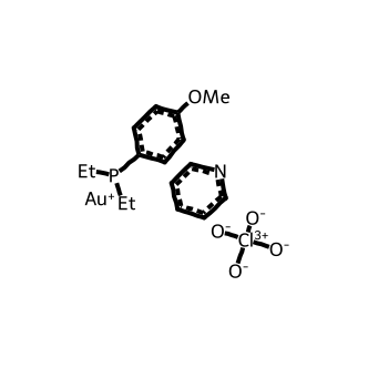 CCP(CC)c1ccc(OC)cc1.[Au+].[O-][Cl+3]([O-])([O-])[O-].c1ccncc1